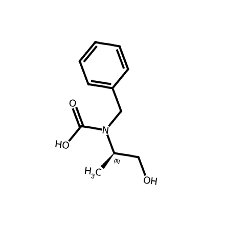 C[C@H](CO)N(Cc1ccccc1)C(=O)O